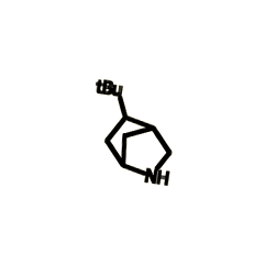 CC(C)(C)C1CC2CC1CN2